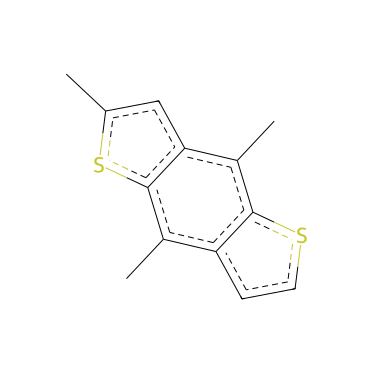 Cc1cc2c(C)c3sccc3c(C)c2s1